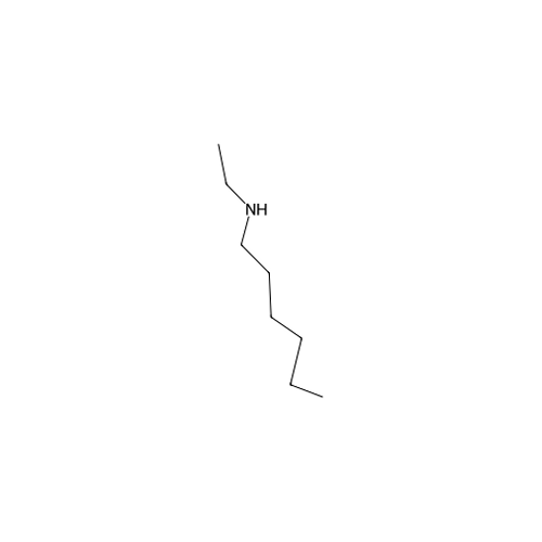 CCCCCCNCC